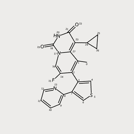 Cc1c(-c2cscc2-c2ccccn2)c(F)cn2c(=O)[nH]c(=O)c(C3CC3)c12